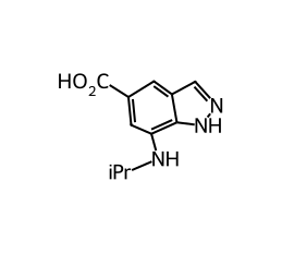 CC(C)Nc1cc(C(=O)O)cc2cn[nH]c12